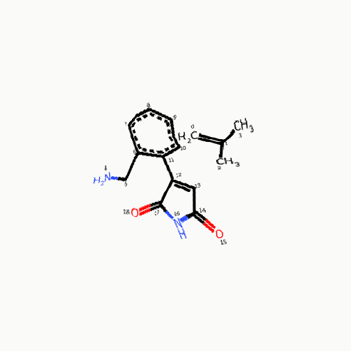 C=C(C)C.NCc1ccccc1C1=CC(=O)NC1=O